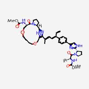 C=C/C(=C\C=C(/C)c1nc2[nH]c1COCCCCOC[C@H](NC(=O)OC)C(=O)N1CCC[C@@H]21)c1ccc(-c2c[nH]c([C@@H]3CCCN3C(=O)[C@@H](NC(=O)OC)C(C)C)n2)cc1